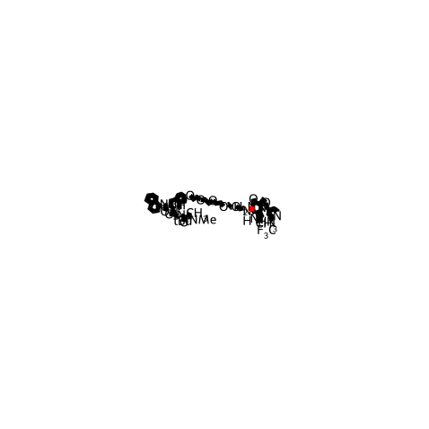 CN[C@@H](C)C(=O)N[C@H](C(=O)N1Cc2cc(OCCOCCOCCOCCOCCNCc3nn(C)cc3N3C(C(N)=O)=COC3c3ccnc(NCC(F)(F)F)c3)ccc2C[C@H]1C(=O)N[C@@H]1CCCc2ccccc21)C(C)(C)C